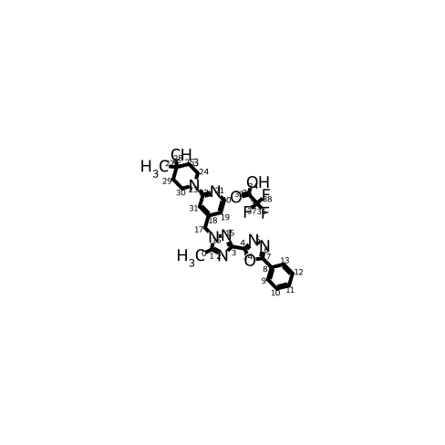 Cc1nc(-c2nnc(-c3ccccc3)o2)nn1Cc1ccnc(N2CCC(C)(C)CC2)c1.O=C(O)C(F)(F)F